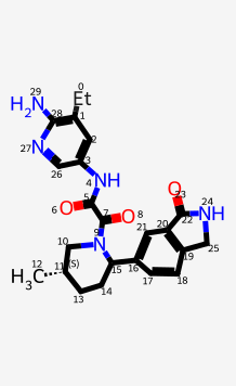 CCc1cc(NC(=O)C(=O)N2C[C@@H](C)CCC2c2ccc3c(c2)C(=O)NC3)cnc1N